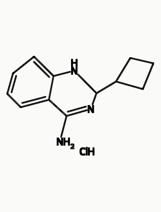 Cl.NC1=NC(C2CCC2)Nc2ccccc21